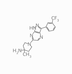 CC1(N)CCN(c2cnc3c(-c4cccc(C(F)(F)F)c4)n[nH]c3n2)CC1